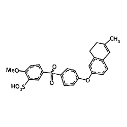 COc1ccc(S(=O)(=O)c2ccc(Oc3ccc4c(c3)CCC(C)=C4)cc2)cc1S(=O)(=O)O